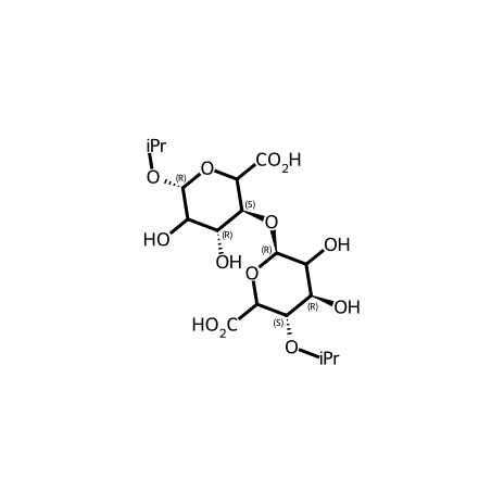 CC(C)O[C@@H]1OC(C(=O)O)[C@@H](O[C@@H]2OC(C(=O)O)[C@@H](OC(C)C)[C@H](O)C2O)[C@H](O)C1O